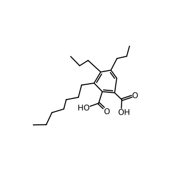 CCCCCCCc1c(CCC)c(CCC)cc(C(=O)O)c1C(=O)O